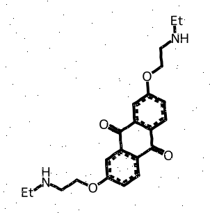 CCNCCOc1ccc2c(c1)C(=O)c1cc(OCCNCC)ccc1C2=O